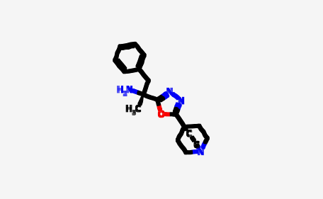 C[C@@](N)(Cc1ccccc1)c1nnc(C23CCN(CC2)CC3)o1